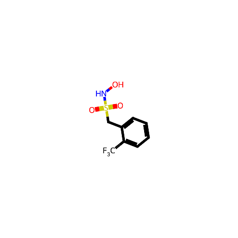 O=S(=O)(Cc1ccccc1C(F)(F)F)NO